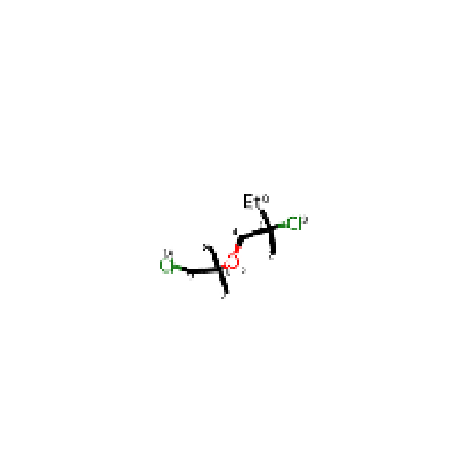 CCC(C)(Cl)COC(C)(C)CCl